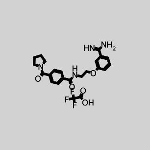 N=C(N)c1cccc(OCCNC(=O)c2ccc(C(=O)N3CCCC3)cc2)c1.O=C(O)C(F)(F)F